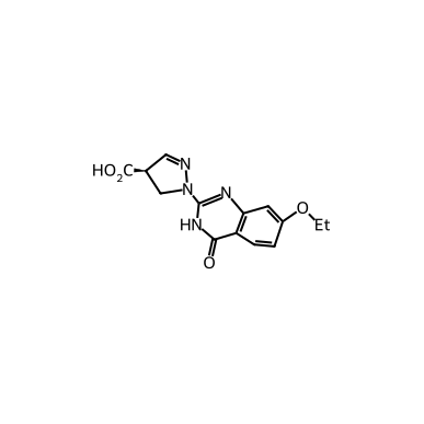 CCOc1ccc2c(=O)[nH]c(N3C[C@@H](C(=O)O)C=N3)nc2c1